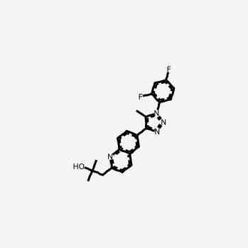 Cc1c(-c2ccc3nc(CC(C)(C)O)ccc3c2)nnn1-c1ccc(F)cc1F